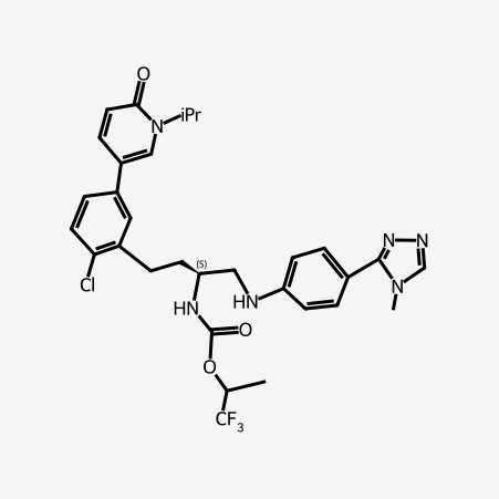 CC(C)n1cc(-c2ccc(Cl)c(CC[C@@H](CNc3ccc(-c4nncn4C)cc3)NC(=O)OC(C)C(F)(F)F)c2)ccc1=O